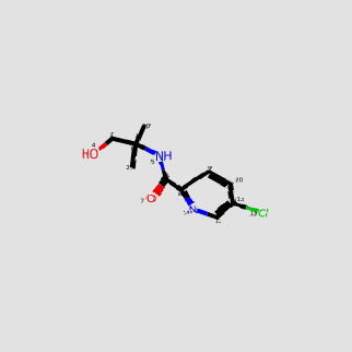 CC(C)(CO)NC(=O)c1ccc(Cl)cn1